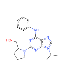 CC(C)n1cnc2c(Nc3ccccc3)nc(N3CCCC3CO)nc21